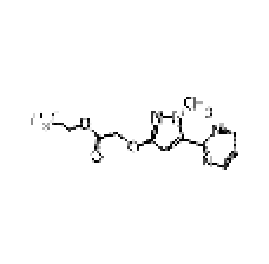 CCOC(=O)COc1cc(-c2ncccn2)n(C)n1